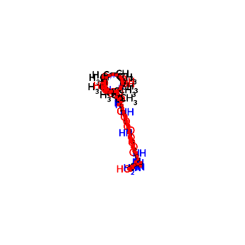 CO[C@H]1C[C@@H]2CC[C@@H](C)[C@@](O)(O2)C(=O)C(=O)N2CCCC[C@H]2C(=O)O[C@H]([C@H](C)C[C@@H]2CC[C@H](n3cc(CCCC(=O)NCCOCCOCCOCCC(=O)NCCOCCOCCOCCC(=O)NCCCCn4nc(-c5cc6cc(O)ccc6[nH]5)c5c(N)ncnc54)nn3)[C@H](OC)C2)CC(=O)[C@H](C)/C=C(\C)[C@@H](O)[C@@H](O)C(=O)[C@H](C)C[C@H](C)/C=C/C=C/C=C/1C